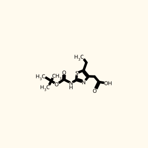 CCc1sc(NC(=O)OC(C)(C)C)nc1CC(=O)O